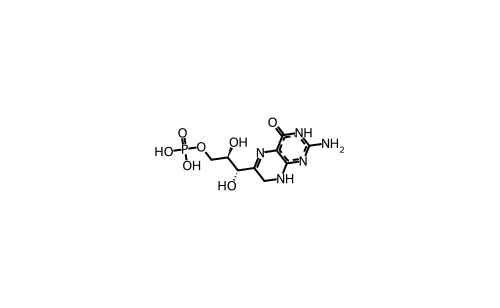 Nc1nc2c(c(=O)[nH]1)N=C([C@H](O)[C@H](O)COP(=O)(O)O)CN2